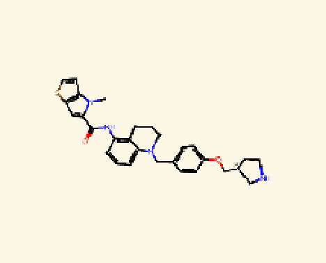 Cn1c(C(=O)Nc2cccc3c2CCCN3Cc2ccc(OC[C@H]3CCNC3)cc2)cc2sccc21